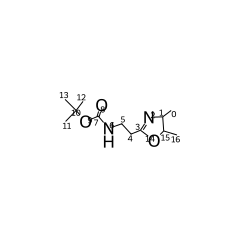 CC1N=C(CCNC(=O)OC(C)(C)C)OC1C